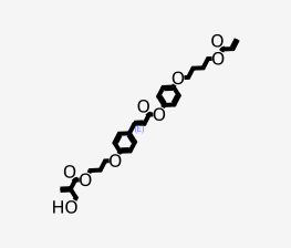 C=CC(=O)OCCCCOc1ccc(OC(=O)/C=C/c2ccc(OCCCOC(=O)C(=C)CO)cc2)cc1